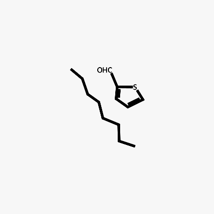 CCCCCCCC.O=Cc1cccs1